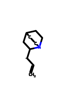 C=C[CH]C1CC2CCN1CC2